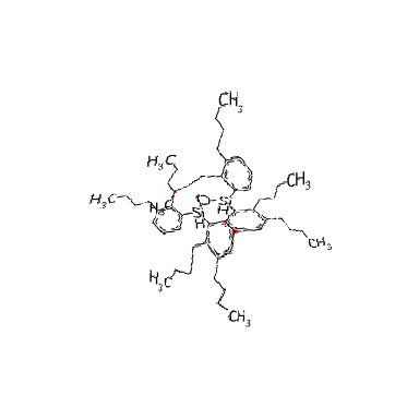 CCCCc1cccc([SiH](O[SiH](c2cccc(CCCC)c2CCCC)c2cccc(CCCC)c2CCCC)c2cccc(CCCC)c2CCCC)c1CCCC